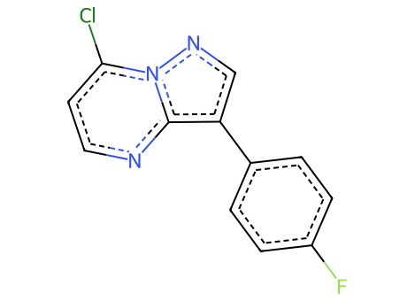 Fc1ccc(-c2cnn3c(Cl)ccnc23)cc1